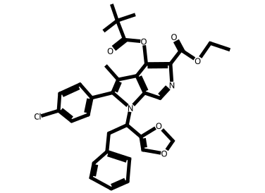 CCOC(=O)c1ncc2c(c(C)c(-c3ccc(Cl)cc3)n2C(Cc2ccccc2)C2=COCO2)c1OC(=O)C(C)(C)C